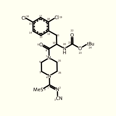 CS/C(=N\C#N)N1CCN(C(=O)C(Cc2ccc(Cl)cc2Cl)NC(=O)OC(C)(C)C)CC1